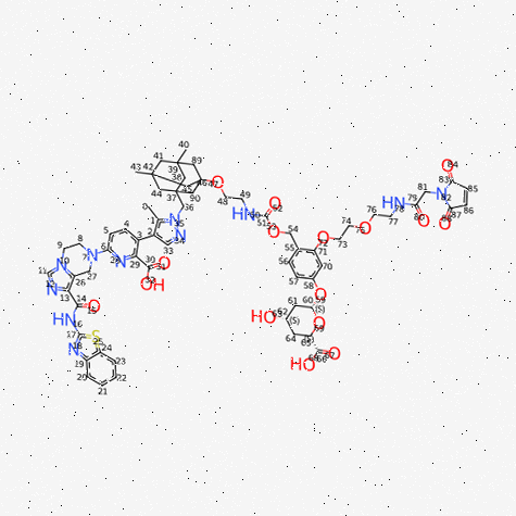 Cc1c(-c2ccc(N3CCn4cnc(C(=O)Nc5nc6ccccc6s5)c4C3)nc2C(=O)O)cnn1CC12CC3(C)CC(C)(C1)CC(OCCNC(=O)OCc1ccc(O[C@H]4C[C@@H](O)C[C@@H](C(=O)O)O4)cc1OCCOCCNC(=O)CN1C(=O)C=CC1=O)(C3)C2